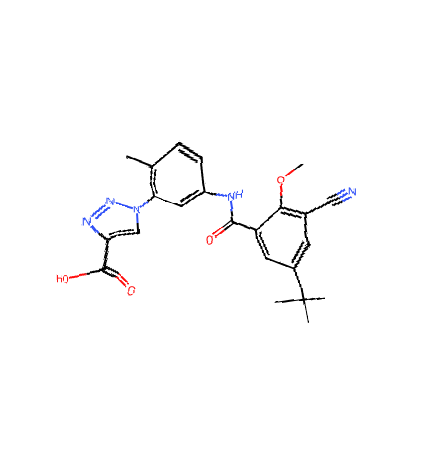 COc1c(C#N)cc(C(C)(C)C)cc1C(=O)Nc1ccc(C)c(-n2cc(C(=O)O)nn2)c1